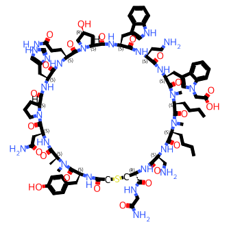 CCCC[C@H]1C(=O)N(C)[C@@H](CCCC)C(=O)N[C@@H](CN)C(=O)N[C@H](C(=O)NCC(N)=O)CSCC(=O)N[C@@H](Cc2ccc(O)cc2)C(=O)N(C)[C@@H](C)C(=O)N[C@@H](CC(N)=O)C(=O)N2CCC[C@H]2C(=O)N[C@@H](Cc2c[nH]cn2)C(=O)N[C@@H](CCC(N)=O)C(=O)N2C[C@H](O)C[C@H]2C(=O)N[C@@H](Cc2c[nH]c3ccccc23)C(=O)N[C@@H](CCN)C(=O)N[C@@H](Cc2cn(CC(=O)O)c3ccccc23)C(=O)N1C